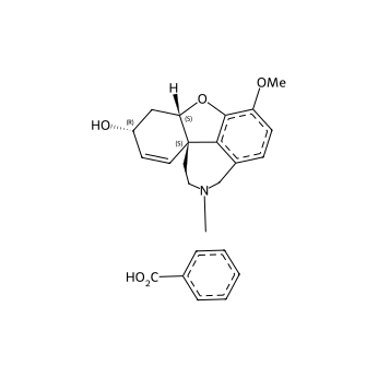 COc1ccc2c3c1O[C@H]1C[C@@H](O)C=C[C@@]31CCN(C)C2.O=C(O)c1ccccc1